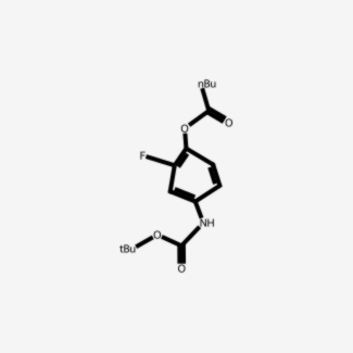 CCCCC(=O)Oc1ccc(NC(=O)OC(C)(C)C)cc1F